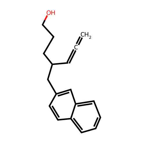 C=C=CC(CCCO)Cc1ccc2ccccc2c1